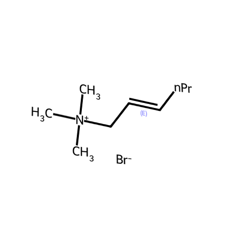 CCC/C=C/C[N+](C)(C)C.[Br-]